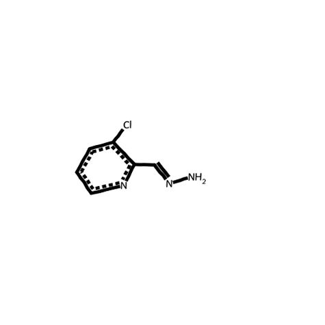 N/N=C/c1ncccc1Cl